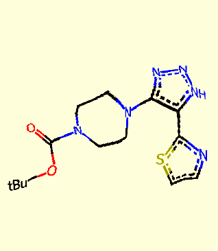 CC(C)(C)OC(=O)N1CCN(c2nn[nH]c2-c2nccs2)CC1